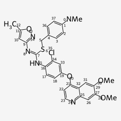 CNc1ccc(CS/C(=N\c2cc(C)on2)Nc2ccc(Oc3ccnc4cc(OC)c(OC)cc34)cc2Cl)cc1